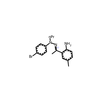 CCCN(/N=C(\C)c1cc(C)ccc1N)c1ccc(Br)cc1